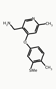 CSc1cc(Oc2cc(C)ncc2CN)ccc1C